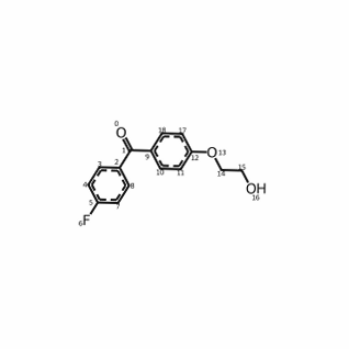 O=C(c1ccc(F)cc1)c1ccc(OCCO)cc1